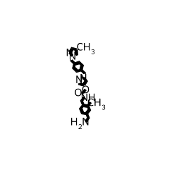 Cc1cnn(Cc2ccc(Cn3cc(OC(=O)NCc4ccc(CN)cc4C)cn3)cc2)c1